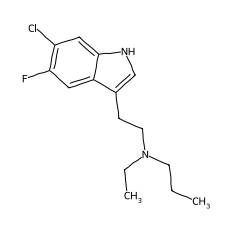 CCCN(CC)CCc1c[nH]c2cc(Cl)c(F)cc12